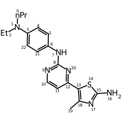 CCCN(CC)c1ccc(Nc2nccc(-c3sc(N)nc3C)n2)cc1